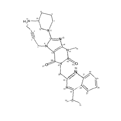 CC#CCn1c(N2CCCC(N)C2)nc2c1c(=O)n(Cc1nc(C(C)C)c3ccccc3n1)c(=O)n2C